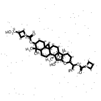 CC(C)C(OC(=O)N1CCC1)C1CC[C@H]2C(O1)[C@H](O)[C@@]1(C)C3CCC4C(C)(C)C(OC(=O)N5CC(C(=O)O)C5)CCC45CC35CCC21C